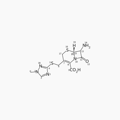 Cn1cnc(SCC2=C(C(=O)O)N3C(=O)C(N)[C@H]3SC2)n1